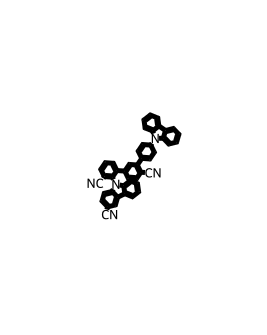 N#Cc1ccc2c(c1)c1ccccc1n2-c1c(C#N)cccc1-c1ccc(C#N)c(C2=CCC(n3c4ccccc4c4ccccc43)C=C2)c1